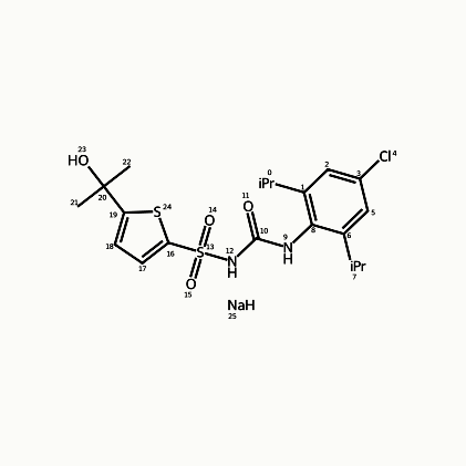 CC(C)c1cc(Cl)cc(C(C)C)c1NC(=O)NS(=O)(=O)c1ccc(C(C)(C)O)s1.[NaH]